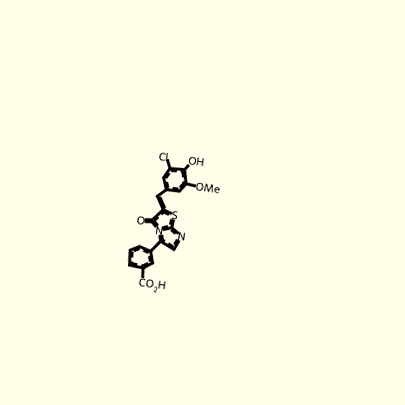 COc1cc(/C=c2\sc3ncc(-c4cccc(C(=O)O)c4)n3c2=O)cc(Cl)c1O